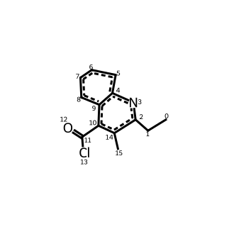 CCc1nc2ccccc2c(C(=O)Cl)c1C